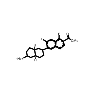 CCCCCCC1CC[C@@H]2CC(c3cc4ccc(C(=O)OC)c(F)c4cc3F)CC[C@H]2C1